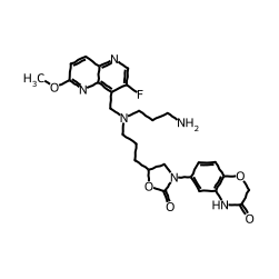 COc1ccc2ncc(F)c(CN(CCCN)CCCC3CN(c4ccc5c(c4)NC(=O)CO5)C(=O)O3)c2n1